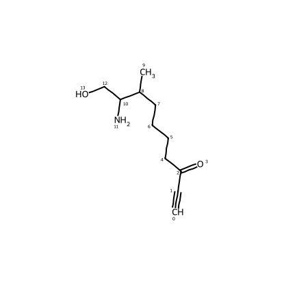 C#CC(=O)CCCCC(C)C(N)CO